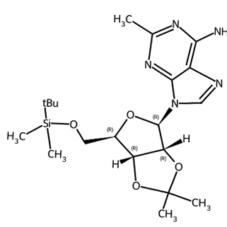 Cc1nc(N)c2ncn([C@@H]3O[C@H](CO[Si](C)(C)C(C)(C)C)[C@H]4OC(C)(C)O[C@H]43)c2n1